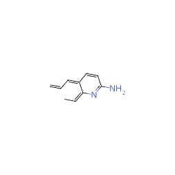 C=C/C=c1/ccc(N)n/c1=C/C